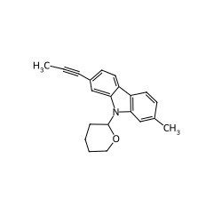 CC#Cc1ccc2c3ccc(C)cc3n(C3CCCCO3)c2c1